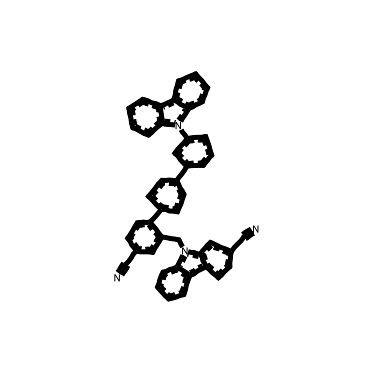 N#Cc1ccc(-c2ccc(-c3cccc(-n4c5ccccc5c5ccccc54)c3)cc2)c(Cn2c3ccccc3c3ccc(C#N)cc32)c1